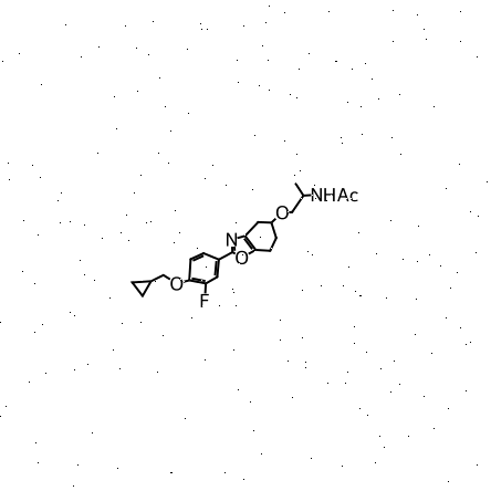 CC(=O)NC(C)COC1CCc2oc(-c3ccc(OCC4CC4)c(F)c3)nc2C1